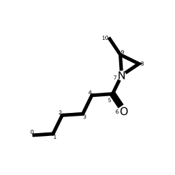 CCCCCC(=O)N1CC1C